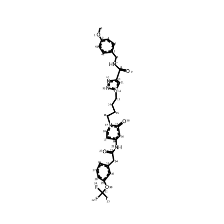 COc1ccc(CNC(=O)c2cn(CCCCn3ccc(NC(=O)Cc4cccc(OC(F)(F)F)c4)cc3=O)nn2)cc1